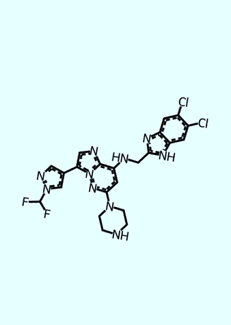 FC(F)n1cc(-c2cnc3c(NCc4nc5cc(Cl)c(Cl)cc5[nH]4)cc(N4CCNCC4)nn23)cn1